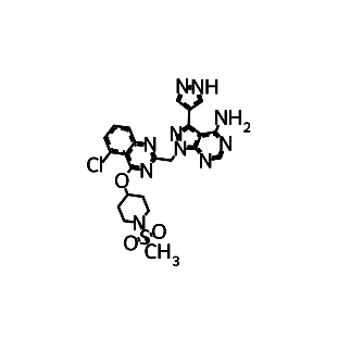 CS(=O)(=O)N1CCC(Oc2nc(Cn3nc(-c4cn[nH]c4)c4c(N)ncnc43)nc3cccc(Cl)c23)CC1